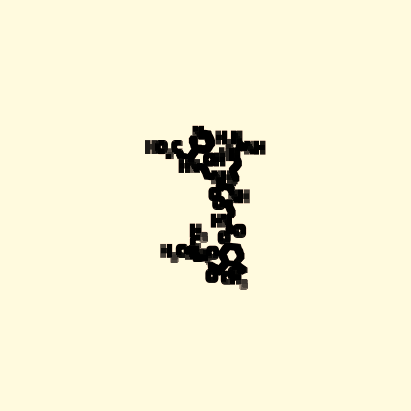 CO[C@@H]1[C@H](OC(=O)NCC(=O)N[C@@H](CCCNC(=N)N)C(=O)NC[C@@H](O)N[C@@H](CC(=O)O)c2cccnc2)CC[C@]2(CO2)[C@H]1[C@@]1(C)O[C@@H]1CC=C(C)C